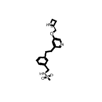 CS(=O)(=O)NCc1cccc(CCc2cncc(OC[C@@H]3CCN3)c2)c1